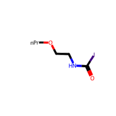 CCCOCCNC(=O)I